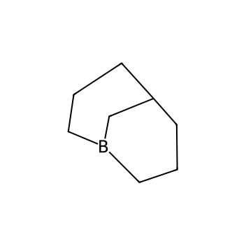 C1CB2CCCC(C1)C2